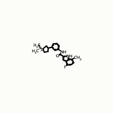 Cc1ccc(F)c2cc(C(=O)Nc3cccc(C4CC[C@@H](N(C)C)C4)c3)[nH]c12